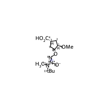 CO[C@@H]1C[C@@H](C(=O)O)C[C@H]1O/N=[N+](\[O-])N(C)C(C)(C)C